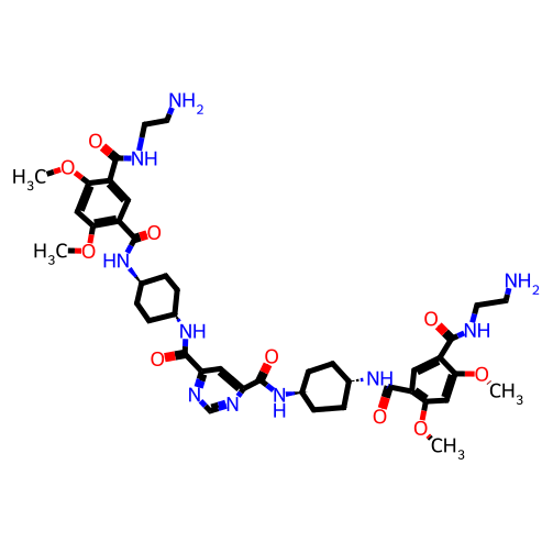 COc1cc(OC)c(C(=O)N[C@H]2CC[C@H](NC(=O)c3cc(C(=O)N[C@H]4CC[C@H](NC(=O)c5cc(C(=O)NCCN)c(OC)cc5OC)CC4)ncn3)CC2)cc1C(=O)NCCN